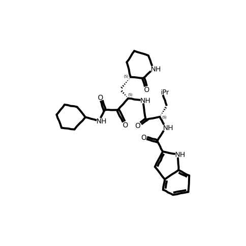 CC(C)C[C@H](NC(=O)c1cc2ccccc2[nH]1)C(=O)N[C@@H](C[C@@H]1CCCNC1=O)C(=O)C(=O)NC1CCCCC1